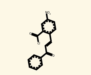 O=C(C=Cc1ccc([N+](=O)[O-])cc1C(=O)Cl)c1ccccc1